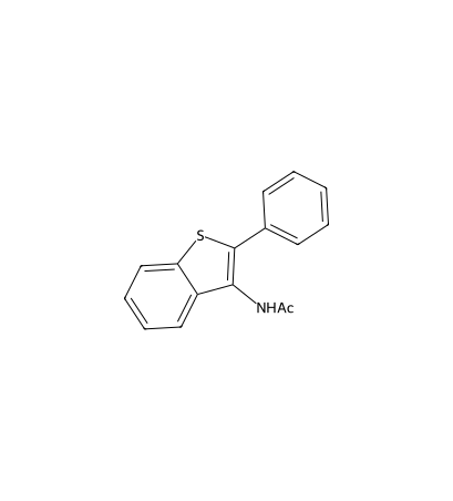 CC(=O)Nc1c(-c2ccccc2)sc2ccccc12